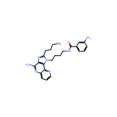 CCCCc1nc2c(N)nc3cccnc3c2n1CCCCNC(=O)c1cccc(N)c1